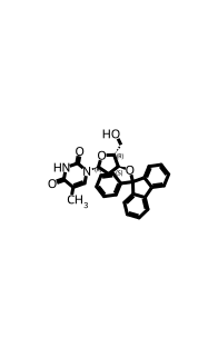 Cc1cn([C@H]2C[C@H](OC3(c4ccccc4)c4ccccc4-c4ccccc43)[C@@H](CO)O2)c(=O)[nH]c1=O